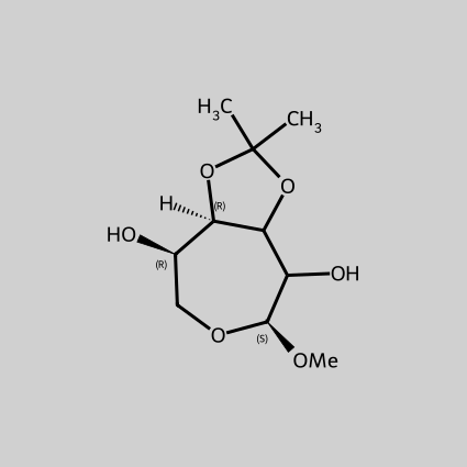 CO[C@H]1OC[C@@H](O)[C@H]2OC(C)(C)OC2C1O